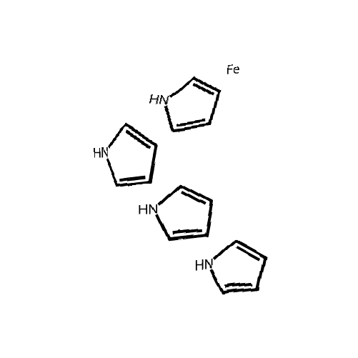 [Fe].c1cc[nH]c1.c1cc[nH]c1.c1cc[nH]c1.c1cc[nH]c1